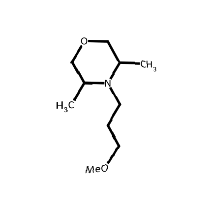 COCCCN1C(C)COCC1C